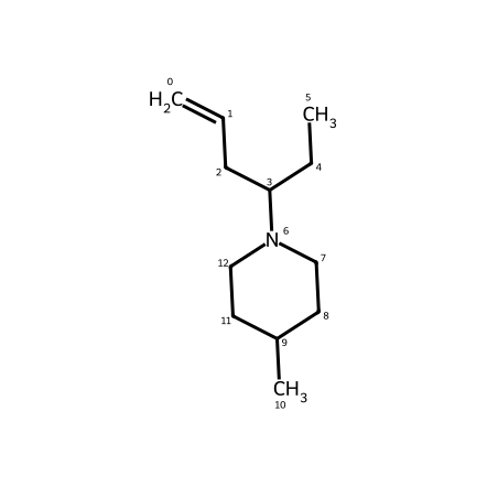 C=CCC(CC)N1CCC(C)CC1